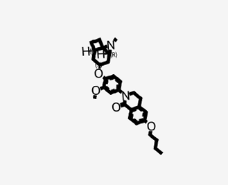 CCCCOc1ccc2c(c1)CCN(c1ccc(O[C@H]3C[C@H]4CCC45[C@@H](C3)N5C)c(OC)c1)C2=O